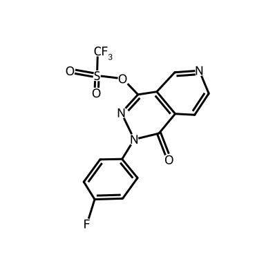 O=c1c2ccncc2c(OS(=O)(=O)C(F)(F)F)nn1-c1ccc(F)cc1